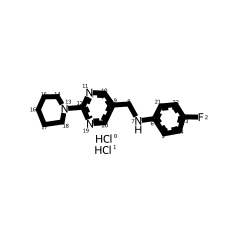 Cl.Cl.Fc1ccc(NCc2cnc(N3CCCCC3)nc2)cc1